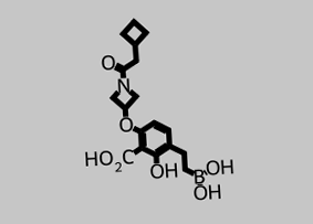 O=C(O)c1c(OC2CN(C(=O)CC3CCC3)C2)ccc(CCB(O)O)c1O